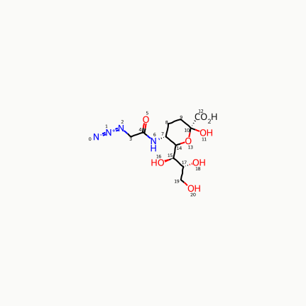 [N-]=[N+]=NCC(=O)N[C@@H]1CC[C@](O)(C(=O)O)OC1[C@H](O)[C@H](O)CO